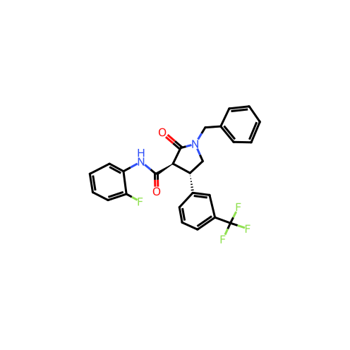 O=C(Nc1ccccc1F)[C@H]1C(=O)N(Cc2ccccc2)C[C@@H]1c1cccc(C(F)(F)F)c1